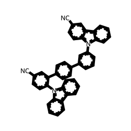 N#Cc1ccc(-n2c3ccccc3c3ccccc32)c(-c2ccc(-c3cccc(-n4c5ccccc5c5cc(C#N)ccc54)c3)cc2)c1